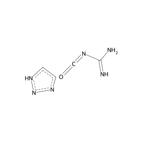 N=C(N)N=C=O.c1c[nH]nn1